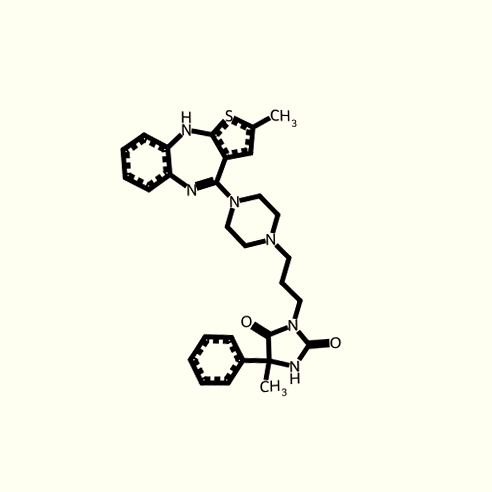 Cc1cc2c(s1)Nc1ccccc1N=C2N1CCN(CCCN2C(=O)NC(C)(c3ccccc3)C2=O)CC1